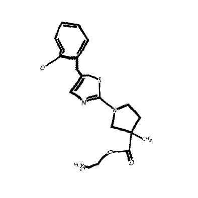 CC1(C(=O)OCN)CCN(c2ncc(-c3ccccc3Cl)s2)C1